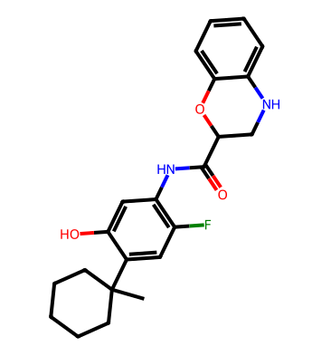 CC1(c2cc(F)c(NC(=O)C3CNc4ccccc4O3)cc2O)CCCCC1